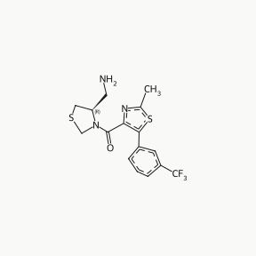 Cc1nc(C(=O)N2CSC[C@H]2CN)c(-c2cccc(C(F)(F)F)c2)s1